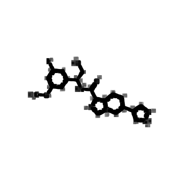 COc1cc(F)cc([C@@H](CO)NC(=O)c2ncn3cc(-c4cn[nH]c4)ccc23)c1